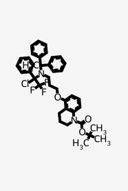 CC(C)(C)OC(=O)N1CCCc2c(OCCCN(C(C)(c3ccccc3)c3ccccc3)C(Cl)(c3ccccc3)C(F)(F)F)cccc21